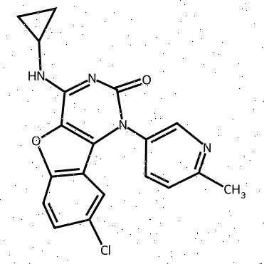 Cc1ccc(-n2c(=O)nc(NC3CC3)c3oc4ccc(Cl)cc4c32)cn1